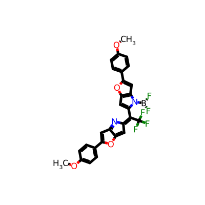 COc1ccc(-c2cc3c(o2)=C/C(=C(/c2cc4oc(-c5ccc(OC)cc5)cc4n2B(F)F)C(F)(F)F)N=3)cc1